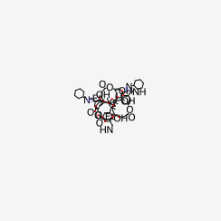 CCC12CCC(=O)Oc3cc(C=N)c(O)c(c3)C(C)(C)C(C34C(CC)(CCC(=O)Oc5cc(C=N)c(O)c(c5)C3(C)C)CCC(=O)Oc3cc(/C=N/C5CCCCC5)c(O)c(c3)C4(C)C)(C1)C(C)(C)c1cc(cc(/C=N/C3CCCCC3)c1O)OC(=O)CC2